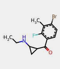 [CH2]CNC1CC1C(=O)c1ccc(Br)c(C)c1F